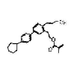 C=C(C)C(=O)OCCc1cc(-c2ccc(C3CCCCC3)cc2)ccc1CCCO